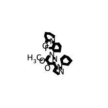 COc1cn(-c2cccc(N3CCCCC3=O)c2F)nc(-c2ccnn2C2C=CC=CC2)c1=O